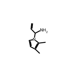 C=CC(N)n1ccc(C)c1C